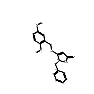 C=C1C=C(OCc2cc(OC)ccc2OC)[C@H](Cc2ccccc2)N1